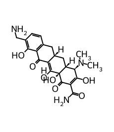 CN(C)[C@H]1C(O)=C(C(N)=O)C(=O)[C@]2(O)C(O)=C3C(=O)c4c(ccc(CN)c4O)C[C@@H]3C[C@H]12